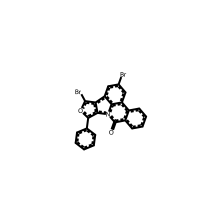 O=c1c2ccccc2c2cc(Br)cc3c4c(Br)oc(-c5ccccc5)c4n1c23